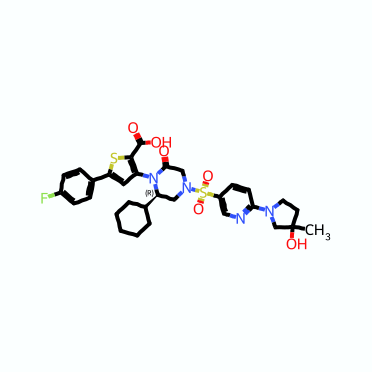 CC1(O)CCN(c2ccc(S(=O)(=O)N3CC(=O)N(c4cc(-c5ccc(F)cc5)sc4C(=O)O)[C@H](C4CCCCC4)C3)cn2)C1